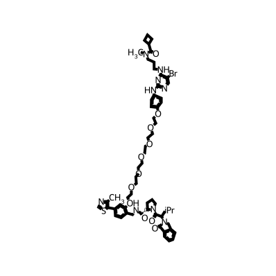 Cc1ncsc1-c1ccc(CNC(=O)[C@@H]2CCCN2C(=O)C(C(C)C)N2Cc3ccccc3C2=O)c(OCCOCCOCCOCCOCCOCCOc2ccc(Nc3ncc(Br)c(NCCCN(C)C(=O)C4CCC4)n3)cc2)c1